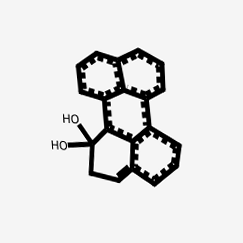 OC1(O)CC=c2cccc3c2c1c1cccc2cccc3c21